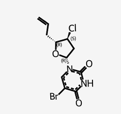 C=CC[C@H]1O[C@@H](n2cc(Br)c(=O)[nH]c2=O)C[C@@H]1Cl